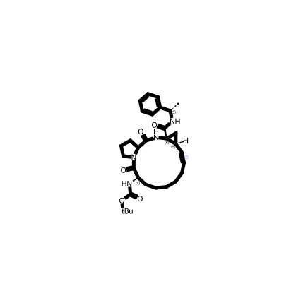 C[C@H](NC(=O)[C@@]12C[C@H]1/C=C\CCCCC[C@H](NC(=O)OC(C)(C)C)C(=O)N1CCCC1C(=O)N2)c1ccccc1